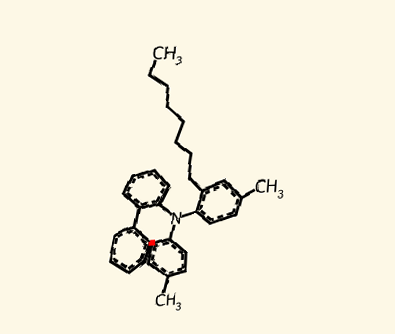 CCCCCCCCc1cc(C)ccc1N(c1ccc(C)cc1)c1ccccc1-c1ccccc1